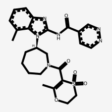 CC1=C(C(=O)N2CCCC[C@@H](n3c(NC(=O)c4ccnnc4)nc4cccc(C)c43)C2)S(=O)(=O)CCO1